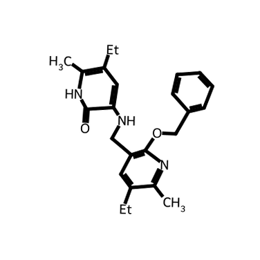 CCc1cc(CNc2cc(CC)c(C)[nH]c2=O)c(OCc2ccccc2)nc1C